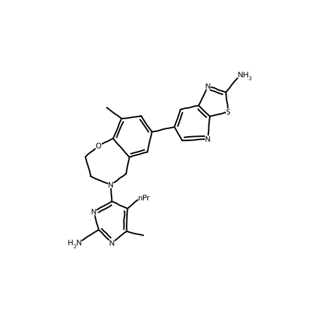 CCCc1c(C)nc(N)nc1N1CCOc2c(C)cc(-c3cnc4sc(N)nc4c3)cc2C1